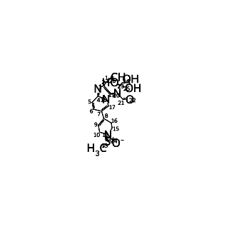 CCc1nc2ccc(C3=CCN([S+](C)[O-])CC3)cn2c1N(C=O)C(O)(O)O